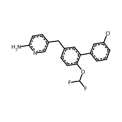 Nc1ccc(Cc2ccc(OC(F)F)c(-c3cccc(Cl)c3)c2)cn1